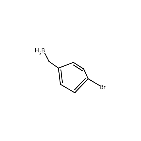 BCc1ccc(Br)cc1